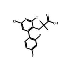 CC(C)(Cc1c(-c2ccc(F)cc2F)cc(Cl)nc1Cl)C(=O)O